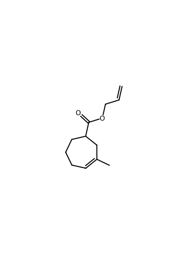 C=CCOC(=O)C1CCCC=C(C)C1